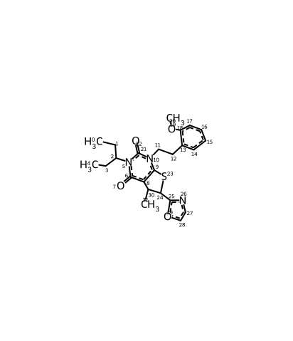 CCC(CC)n1c(=O)c2c(n(CCc3ccccc3OC)c1=O)SC(c1ncco1)C2C